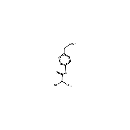 CCCCCCCCCc1ccc(OC(=O)C(C)C#N)cc1